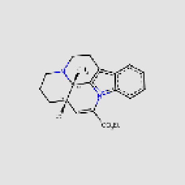 CCOC(=O)C1=C[C@]2(CC)CCCN3CCc4c(n1c1ccccc41)[C@@]32C